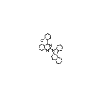 c1ccc2c(c1)Oc1cccc3nc(-n4c5ccccc5c5c6ccccc6ccc54)nc-2c13